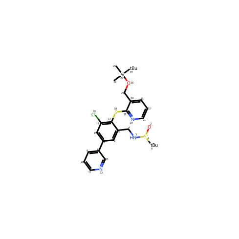 CC(C)(C)[S+]([O-])NCc1cc(-c2cccnc2)cc(Cl)c1Sc1ncccc1CO[Si](C)(C)C(C)(C)C